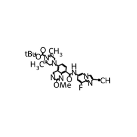 C#Cc1cn2cc(NC(=O)c3ccc(N4C[C@@H](C)N(C(=O)OC(C)(C)C)[C@@H](C)C4)c4cnc(OC)nc34)cc(F)c2n1